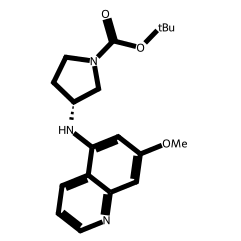 COc1cc(N[C@@H]2CCN(C(=O)OC(C)(C)C)C2)c2cccnc2c1